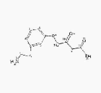 NCCc1cccc(OOC(=O)CC(=O)O)c1